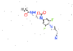 CC(=O)NC[C@H]1CN(c2cc(F)c(N3CC(CC#N)C3)c(F)c2)C(=O)O1